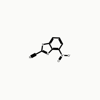 N#Cc1nc2c([N+](=O)[O-])cccc2s1